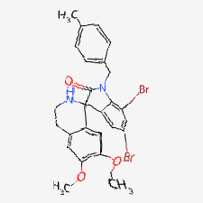 COc1cc2c(cc1OC)C1(NCC2)C(=O)N(Cc2ccc(C)cc2)c2c(Br)cc(Br)cc21